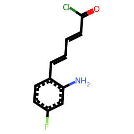 Nc1cc(F)ccc1/C=C/C=C/C(=O)Cl